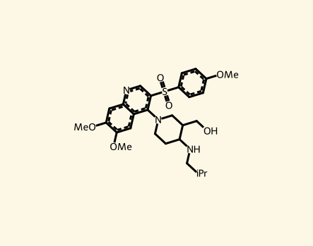 COc1ccc(S(=O)(=O)c2cnc3cc(OC)c(OC)cc3c2N2CCC(NCC(C)C)C(CO)C2)cc1